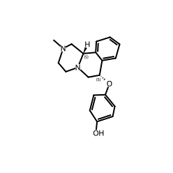 CN1CCN2C[C@@H](Oc3ccc(O)cc3)c3ccccc3[C@H]2C1